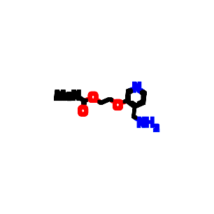 CNC(=O)OCCOc1cnccc1CN